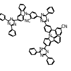 N#Cc1cccc(-c2cc(-c3nc(-c4ccccc4)nc(-c4ccc(-n5c6ccccc6c6cc(-c7nc(-c8ccccc8)nc(-c8ccccc8)n7)ccc65)c(C#N)c4)n3)ccc2-n2c3ccccc3c3cc(-c4nc(-c5ccccc5)nc(-c5ccccc5)n4)ccc32)c1